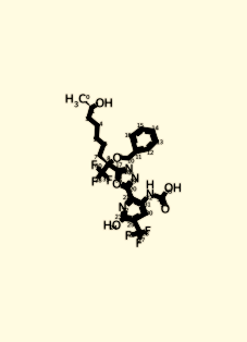 C[C@H](O)CCCCC[C@@](OCc1ccccc1)(c1nnc(-c2nc(O)c(C(F)(F)F)cc2NC(=O)O)o1)C(F)(F)F